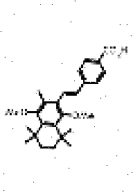 COc1c(C)c(C=Cc2ccc(C(=O)O)cc2)c(OC)c2c1C(C)(C)CCC2(C)C